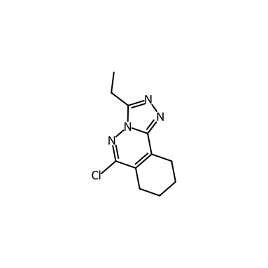 CCc1nnc2c3c(c(Cl)nn12)CCCC3